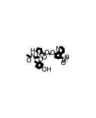 CC(=O)N[C@@H](Cc1ccc(O)cc1)C(=O)N1CCC[C@H]1C(=O)OCOc1ccc([N+](=O)[O-])c2cccnc12